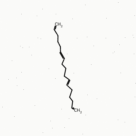 C=CCCC/C=C/CCC/C=C/CCCC=C